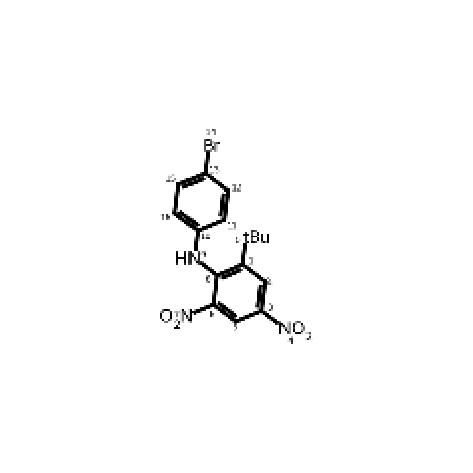 CC(C)(C)c1cc([N+](=O)[O-])cc([N+](=O)[O-])c1Nc1ccc(Br)cc1